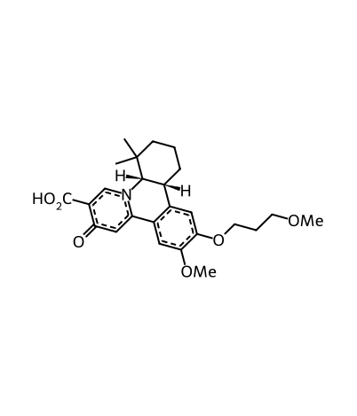 COCCCOc1cc2c(cc1OC)-c1cc(=O)c(C(=O)O)cn1[C@H]1[C@@H]2CCCC1(C)C